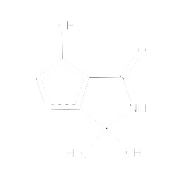 Cc1csc2c1C(=O)NC2(C)C